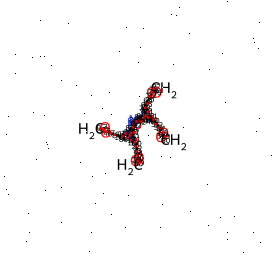 C=CC(=O)OCCCCCCc1ccc(N(c2ccc(CCCCCCOC(=O)C=C)cc2)c2ccc(-c3nnc(-c4ccc(N(c5ccc(CCCCCCOC(=O)C=C)cc5)c5ccc(CCCCCCOC(=O)C=C)cc5)cc4)o3)cc2)cc1